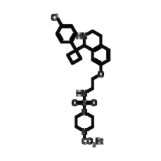 CCOC(=O)N1CCN(S(=O)(=O)NCCOc2ccc3c(c2)C(C2(c4ccc(Cl)cc4)CCC2)NCC3)CC1